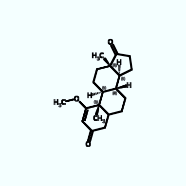 COC1=CC(=O)CC2CC[C@@H]3[C@H](CC[C@]4(C)C(=O)CC[C@@H]34)[C@@]12C